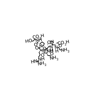 N=C(N)NCCC[C@H](NC(=O)[C@H](CC(N)=O)NC(=O)[C@H](CO)NC(=O)[C@H](CC(=O)O)NC(=O)CN)C(=O)N1CCC[C@H]1C(=O)N[C@@H](CO)C(=O)O